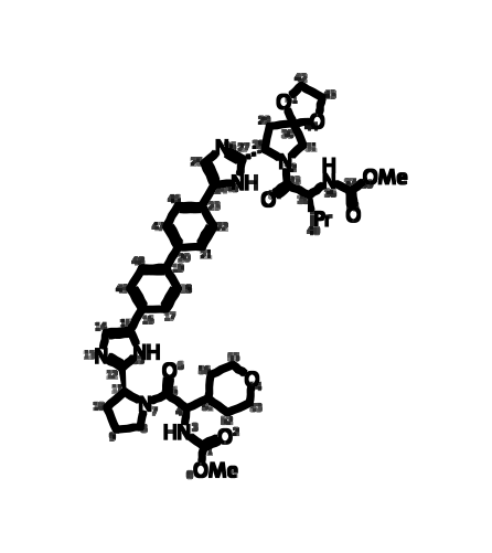 COC(=O)NC(C(=O)N1CCC[C@H]1c1ncc(-c2ccc(-c3ccc(-c4cnc([C@@H]5CC6(CN5C(=O)[C@@H](NC(=O)OC)C(C)C)OCCO6)[nH]4)cc3)cc2)[nH]1)C1CCOCC1